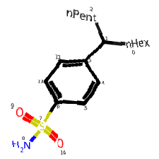 CCCCCCC(CCCCC)c1ccc(S(N)(=O)=O)cc1